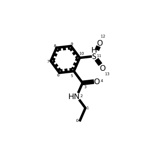 CCNC(=O)c1ccccc1[SH](=O)=O